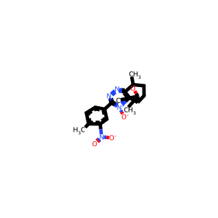 Cc1ccc(-c2nnc3c([n+]2[O-])C2CCC3(C)OC2(C)C)cc1[N+](=O)[O-]